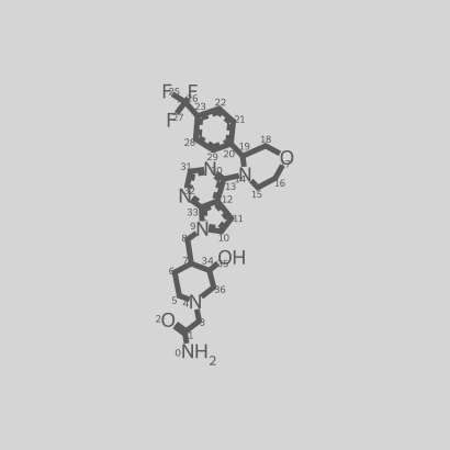 NC(=O)CN1CCC(Cn2ccc3c(N4CCOCC4c4ccc(C(F)(F)F)cc4)ncnc32)C(O)C1